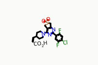 O=C(O)/C=C\C1CCN(c2nc(-c3cc(F)c(Cl)cc3F)nc3c2CS(=O)(=O)C3)CC1